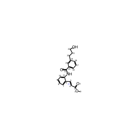 COC(=O)/C=C/c1ccccc1NC(=O)c1cccc(CCCO)c1